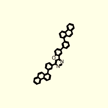 c1cc(-c2ccc3oc4c(-c5cccc(-c6cccc7c6ccc6ccccc67)c5)ncnc4c3c2)cc(-c2cccc3c2ccc2ccccc23)c1